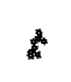 c1ccc(-c2nc(-c3cccc(-c4ccc5c(c4)c4ccc6ccccc6c4n5-c4ccccc4)c3)nc3c2sc2ccccc23)cc1